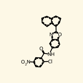 O=C(Nc1ccc2oc(-c3cccc4ccccc34)nc2c1)c1cc([N+](=O)[O-])ccc1Cl